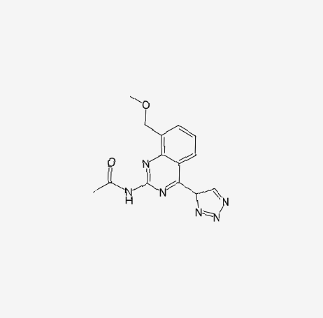 COCc1cccc2c(C3C=NN=N3)nc(NC(C)=O)nc12